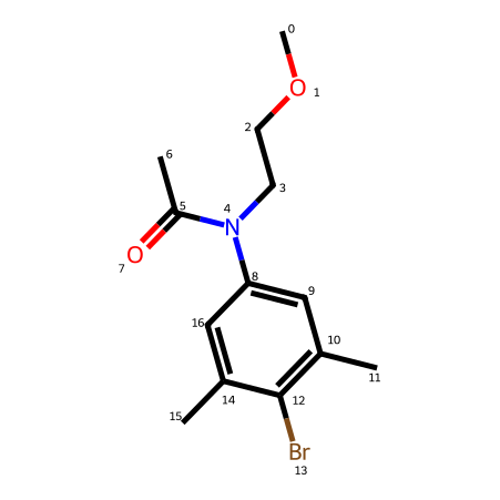 COCCN(C(C)=O)c1cc(C)c(Br)c(C)c1